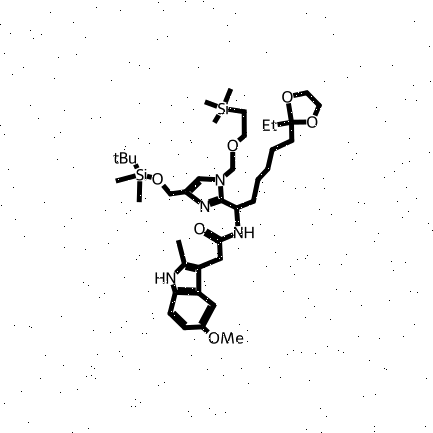 CCC1(CCCCCC(NC(=O)Cc2c(C)[nH]c3ccc(OC)cc23)c2nc(CO[Si](C)(C)C(C)(C)C)cn2COCC[Si](C)(C)C)OCCO1